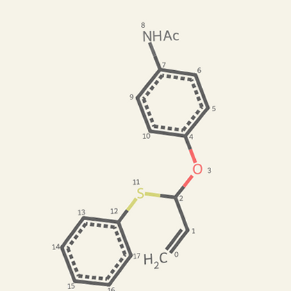 C=CC(Oc1ccc(NC(C)=O)cc1)Sc1ccccc1